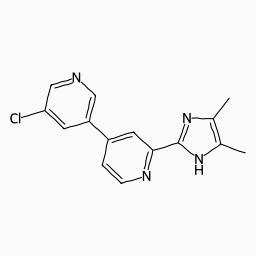 Cc1nc(-c2cc(-c3cncc(Cl)c3)ccn2)[nH]c1C